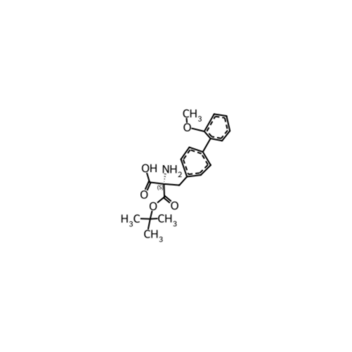 COc1ccccc1-c1ccc(C[C@](N)(C(=O)O)C(=O)OC(C)(C)C)cc1